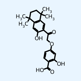 CC1(C)CCC(C)(C)c2cc(C(=O)COc3ccc(C(=O)O)c(O)c3)c(O)cc21